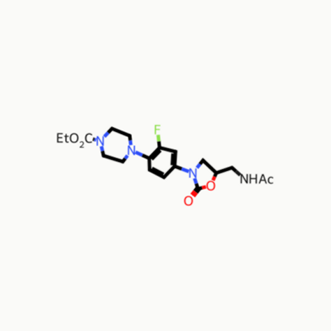 CCOC(=O)N1CCN(c2ccc(N3CC(CNC(C)=O)OC3=O)cc2F)CC1